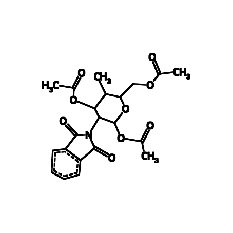 CC(=O)OCC1OC(OC(C)=O)C(N2C(=O)c3ccccc3C2=O)C(OC(C)=O)C1C